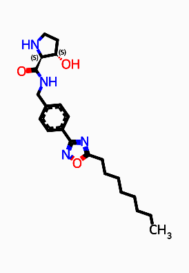 CCCCCCCCc1nc(-c2ccc(CNC(=O)[C@H]3NCC[C@@H]3O)cc2)no1